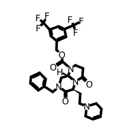 O=C1[C@H](CCN2CC=CCC2)N2C(=O)CCN(C(=O)OCc3cc(C(F)(F)F)cc(C(F)(F)F)c3)[C@H]2CN1Cc1ccccc1